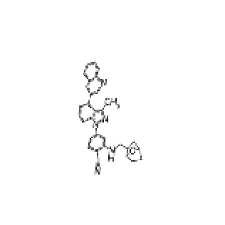 Cc1nn(-c2ccc(C#N)c(NCC3CC4CCC3O4)c2)c2cccc(-c3cnc4ccccc4c3)c12